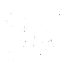 N#CCC1(n2cc(-c3ncnc4[nH]ccc34)cn2)CC(N2CCC(Nc3cc(CN4CCC(F)(F)C4)cc(C(F)(F)F)n3)CC2)C1